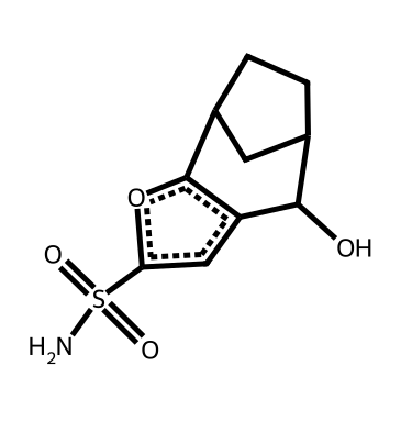 NS(=O)(=O)c1cc2c(o1)C1CCC(C1)C2O